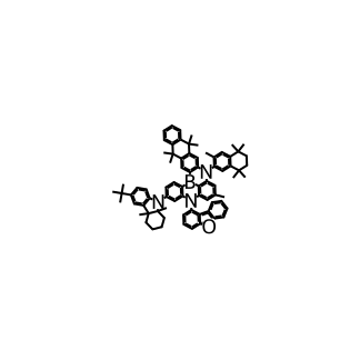 Cc1cc2c3c(c1)N(c1cccc4oc5ccccc5c14)c1cc(N4c5ccc(C(C)(C)C)cc5C5(C)CCCCC45C)ccc1B3c1cc3c(cc1N2c1cc2c(cc1C)C(C)(C)CCC2(C)C)C(C)(C)c1ccccc1C3(C)C